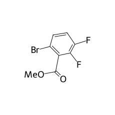 COC(=O)c1c(Br)ccc(F)c1F